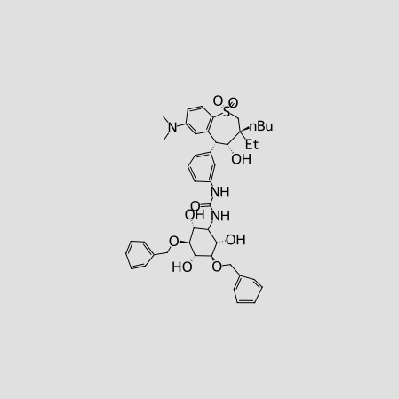 CCCC[C@]1(CC)CS(=O)(=O)c2ccc(N(C)C)cc2[C@@H](c2cccc(NC(=O)NC3[C@@H](O)[C@H](OCc4ccccc4)[C@@H](O)[C@H](OCc4ccccc4)[C@H]3O)c2)[C@H]1O